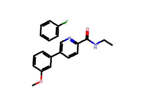 CCNC(=O)c1ccc(-c2cccc(OC)c2)cn1.Fc1ccccc1